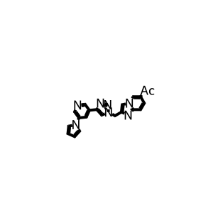 CC(=O)c1ccc2nc(Cn3cc(-c4cncc(-n5cccc5)c4)nn3)cn2c1